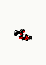 CCC(c1cc(-c2ccc3oc4ccccc4c3c2)c2sc3ccccc3c2c1)c1ccccc1-c1ccc(-c2cccc3c2c2ccccc2n3-c2ccccc2)cc1C